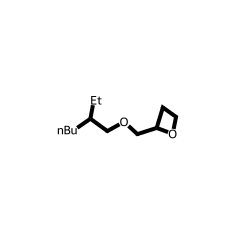 CCCCC(CC)COCC1CCO1